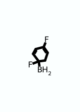 BC1(F)C=CC(F)=CC1